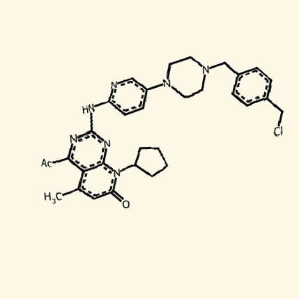 CC(=O)c1nc(Nc2ccc(N3CCN(Cc4ccc(CCl)cc4)CC3)cn2)nc2c1c(C)cc(=O)n2C1CCCC1